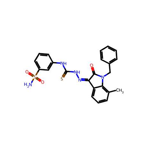 Cc1cccc2c1N(Cc1ccccc1)C(=O)C2=NNC(=S)Nc1cccc(S(N)(=O)=O)c1